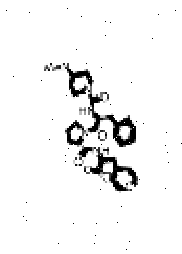 CNC1CCN(C(=O)N[C@@H](Cc2ccccc2)C(=O)N2CCC[C@H]2C(=O)NC(Cc2ccccc2)C(=O)C(F)(F)F)CC1